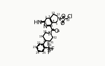 N=C1CC2=C(CN(S(=O)(=O)CCl)CC2)C(C(=O)N2CCC(c3ccccc3C(F)(F)F)CC2)=N1